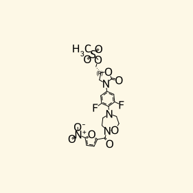 CS(=O)(=O)OC[C@H]1CN(c2cc(F)c(N3CCON(C(=O)c4ccc([N+](=O)[O-])o4)CC3)c(F)c2)C(=O)O1